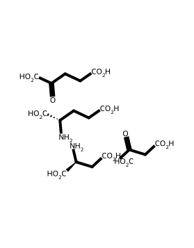 N[C@@H](CC(=O)O)C(=O)O.N[C@@H](CCC(=O)O)C(=O)O.O=C(O)CC(=O)C(=O)O.O=C(O)CCC(=O)C(=O)O